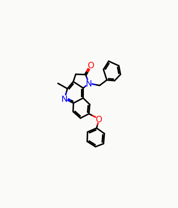 Cc1nc2ccc(Oc3ccccc3)cc2c2c1CC(=O)N2Cc1ccccc1